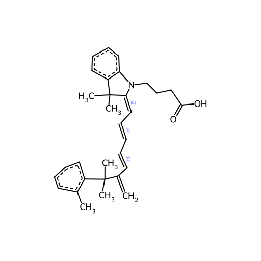 C=C(/C=C/C=C/C=C1/N(CCCC(=O)O)c2ccccc2C1(C)C)C(C)(C)c1ccccc1C